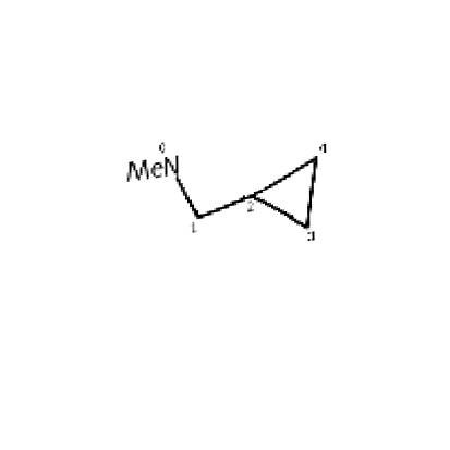 CNC[C]1CC1